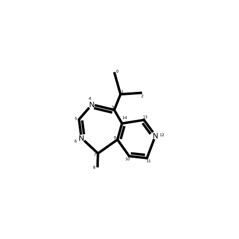 CC(C)C1=NC=NC(C)c2ccncc21